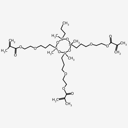 C=C(C)C(=O)OCCOCCC[Si]1(C)O[Si](C)(CCC)O[Si](C)(CCCOCCOC(=O)C(=C)C)O[Si](C)(CCCOCCOC(=O)C(=C)C)O1